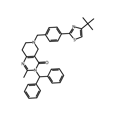 Cc1nc2c(c(=O)n1C(c1ccccc1)c1ccccc1)CN(Cc1ccc(-c3nc(C(C)(C)C)cs3)cc1)CC2